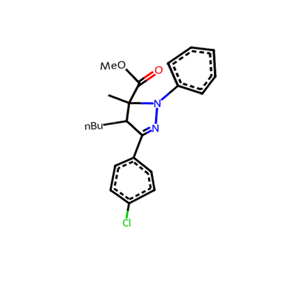 CCCCC1C(c2ccc(Cl)cc2)=NN(c2ccccc2)C1(C)C(=O)OC